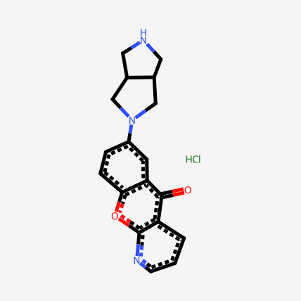 Cl.O=c1c2cc(N3CC4CNCC4C3)ccc2oc2ncccc12